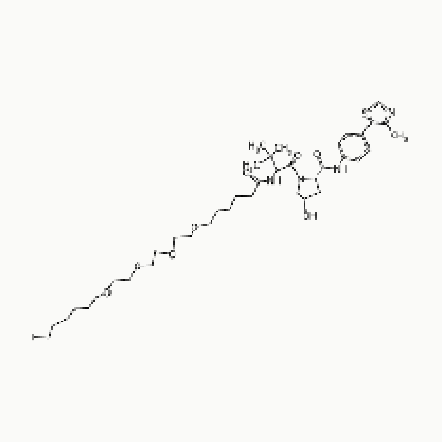 Cc1ncsc1-c1ccc(NC(=O)[C@@H]2C[C@@H](O)CN2C(=O)C(NC(=O)CCCCCOCCOCCOCCOCCCCCCI)C(C)(C)C)cc1